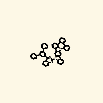 c1ccc(-c2cc(-c3ccccc3)cc(-c3nc(-n4c5ccccc5c5cc6c(cc54)c4cccc5c4n6-c4ccccc4-c4ccccc4-5)nc4ccccc34)c2)cc1